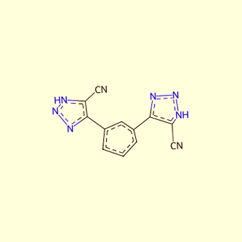 N#Cc1[nH]nnc1-c1cccc(-c2nn[nH]c2C#N)c1